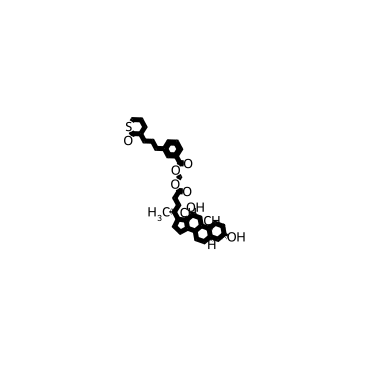 C[C@H](CCC(=O)OCOC(=O)c1cccc(CCCC2CCCSC2=O)c1)C1CCC2C3CC[C@@H]4C[C@H](O)CC[C@]4(C)C3C[C@H](O)[C@@]21C